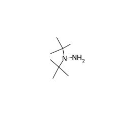 CC(C)(C)N(N)C(C)(C)C